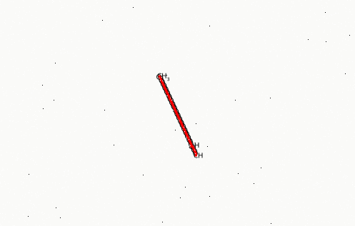 C#CCOCCOCCOCCOCCC(=O)NCCOCCOCCOCCOCCOCCOCCOCCOCCOCCOCCOCCOCCOCCOCCOCCOCCOCCOCCOCCOCCOCCOCCOCCOCCOCCOCCOCCOCCOCCOCCOCCOCCOCCOCCOCCOCCC(C)=O